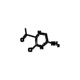 CC(=O)c1ncc(N)nc1Cl